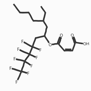 CCCCC(CC)CC(CC(F)(F)C(F)(F)C(F)(F)C(F)(F)F)OC(=O)/C=C\C(=O)O